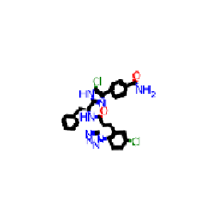 NC(=O)c1ccc(-c2nc([C@H](Cc3ccccc3)NC(=O)CCc3cc(Cl)ccc3-n3cnnn3)[nH]c2Cl)cc1